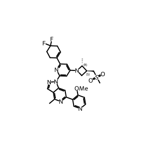 COc1ccncc1-c1cc2c(cnn2-c2cc(N3C[C@H](CS(C)(=O)=O)[C@H]3C)cc(C3=CCC(F)(F)CC3)n2)c(C)n1